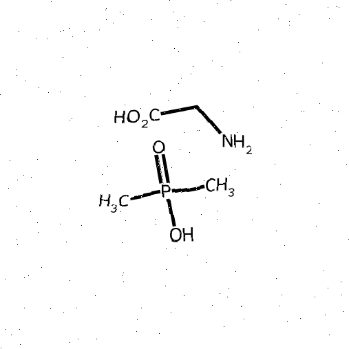 CP(C)(=O)O.NCC(=O)O